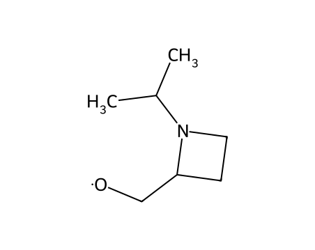 CC(C)N1CCC1C[O]